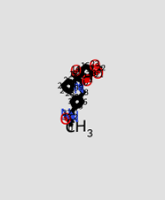 Cc1nc(-c2ccc(CN3C(=O)C4(COc5cc6c(cc54)OCO6)c4ccccc43)cc2)no1